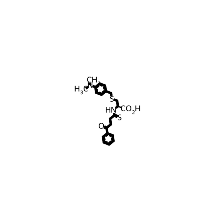 CN(C)c1ccc(CSC[C@H](NC(=S)CCC(=O)c2ccccc2)C(=O)O)cc1